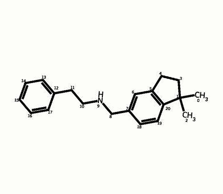 CC1(C)CCc2cc(CNCCc3ccccc3)ccc21